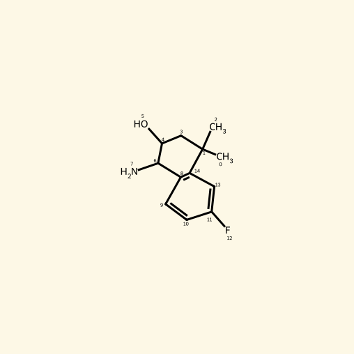 CC1(C)CC(O)C(N)c2ccc(F)cc21